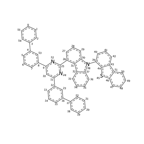 c1ccc(-c2cccc(-c3cc(-c4cccc(-c5ccccc5)c4)nc(-c4cccc5c4c4ccccc4n5-c4cccc5c4sc4ccccc45)n3)c2)cc1